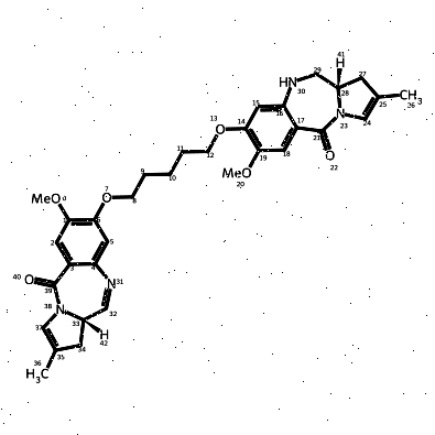 COc1cc2c(cc1OCCCCCOc1cc3c(cc1OC)C(=O)N1C=C(C)C[C@H]1CN3)N=C[C@@H]1CC(C)=CN1C2=O